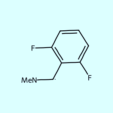 CN[CH]c1c(F)cccc1F